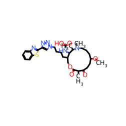 COC1CCCN(C)C(C)C(NC(=O)O)C(CCCCn2cc(-c3nc4ccccc4s3)nn2)COC(=O)C(C)C(=O)CC1